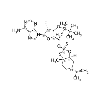 C=C(C)[C@@H]1CC[C@]2(C)S[P@@](=S)(OC[C@H]3O[C@@H](n4cnc5c(N)ncnc54)[C@H](F)C3O[Si](C)(C)C(C)(C)C)O[C@H]2C1